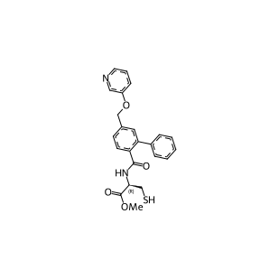 COC(=O)[C@H](CS)NC(=O)c1ccc(COc2cccnc2)cc1-c1ccccc1